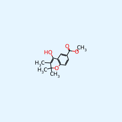 COC(=O)c1ccc2c(c1)C(O)=C(C)C(C)(C)O2